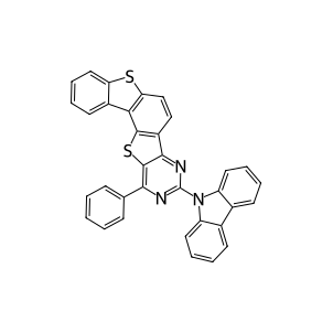 c1ccc(-c2nc(-n3c4ccccc4c4ccccc43)nc3c2sc2c3ccc3sc4ccccc4c32)cc1